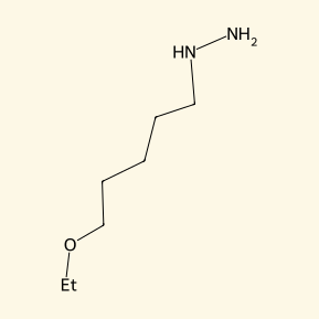 CCOCCCCCNN